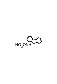 O=C(O)Nc1cccc2c1Cc1ccccc1-2